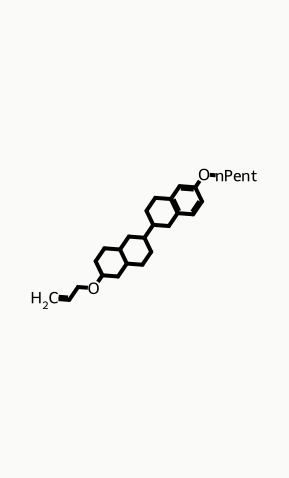 C=CCOC1CCC2CC(C3CCc4cc(OCCCCC)ccc4C3)CCC2C1